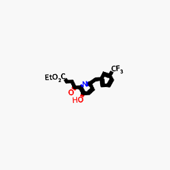 CCOC(=O)CCC(=O)c1nc(Cc2cccc(C(F)(F)F)c2)ccc1O